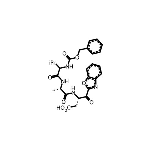 CC(C)C(NC(=O)OCc1ccccc1)C(=O)N[C@@H](C)C(=O)N[C@@H](CC(=O)O)C(=O)c1nc2ccccc2o1